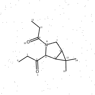 CCC(=O)C1C2C(CN1C(=O)CC)C2(C)C